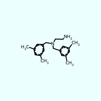 Cc1cc(C)cc(CN(CCN)Cc2cc(C)cc(C)c2)c1